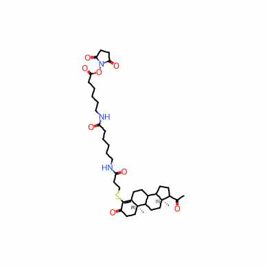 CC(=O)C1CCC2C3CCC4=C(SCCC(=O)NCCCCCC(=O)NCCCCCC(=O)ON5C(=O)CCC5=O)C(=O)CC[C@]4(C)C3CC[C@]12C